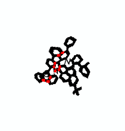 Cc1ccccc1-c1cccc(N(c2cc(-c3ccccc3)ccc2-c2ccccc2)c2cc(N(c3cc(-c4ccccc4)ccc3-c3ccccc3)c3cccc4c3sc3ccccc34)c3ccc4cc(C(C)(C)C)cc5ccc2c3c54)c1C